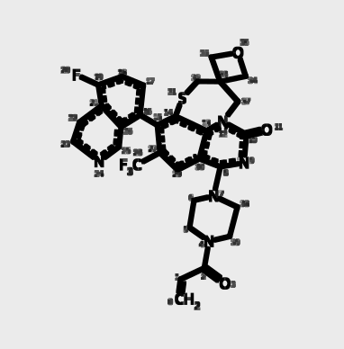 C=CC(=O)N1CCN(c2nc(=O)n3c4c(c(-c5ccc(F)c6ccncc56)c(C(F)(F)F)cc24)SCC2(COC2)C3)CC1